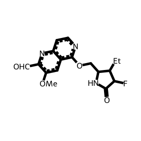 CCC1C(COc2nccc3nc(C=O)c(OC)cc23)NC(=O)C1F